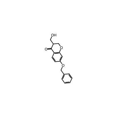 O=C1c2ccc(OCc3ccccc3)cc2OCC1CO